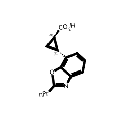 CCCc1nc2cccc([C@@H]3C[C@H]3C(=O)O)c2o1